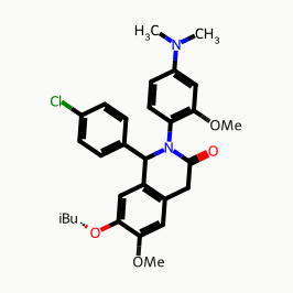 CC[C@@H](C)Oc1cc2c(cc1OC)CC(=O)N(c1ccc(N(C)C)cc1OC)C2c1ccc(Cl)cc1